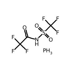 O=C(NS(=O)(=O)C(F)(F)F)C(F)(F)F.P